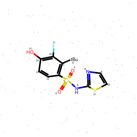 CC(C)(C)c1c(S(=O)(=O)Nc2nccs2)ccc(O)c1F